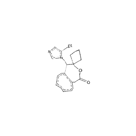 CCc1cncn1C1c2ccccc2C(=O)OC12CCC2